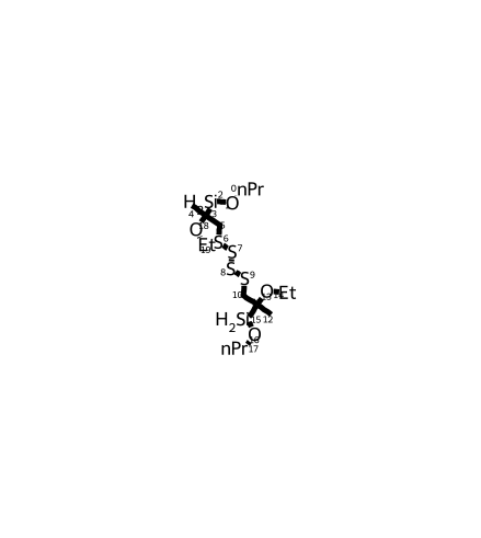 CCCO[SiH2]C(C)(CSSSSCC(C)(OCC)[SiH2]OCCC)OCC